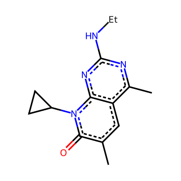 CCNc1nc(C)c2cc(C)c(=O)n(C3CC3)c2n1